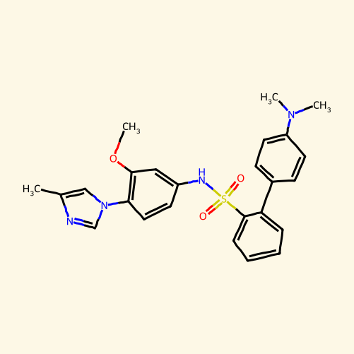 COc1cc(NS(=O)(=O)c2ccccc2-c2ccc(N(C)C)cc2)ccc1-n1cnc(C)c1